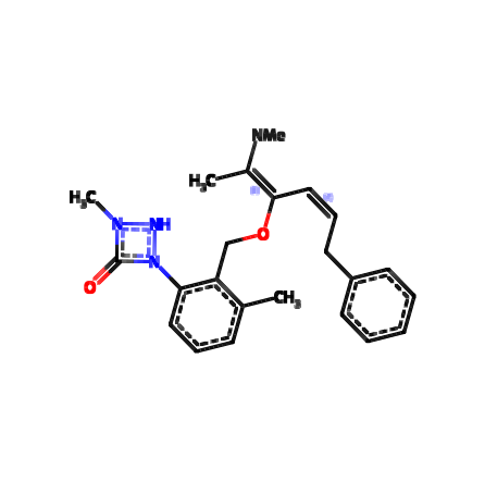 CN/C(C)=C(\C=C/Cc1ccccc1)OCc1c(C)cccc1-n1[nH]n(C)c1=O